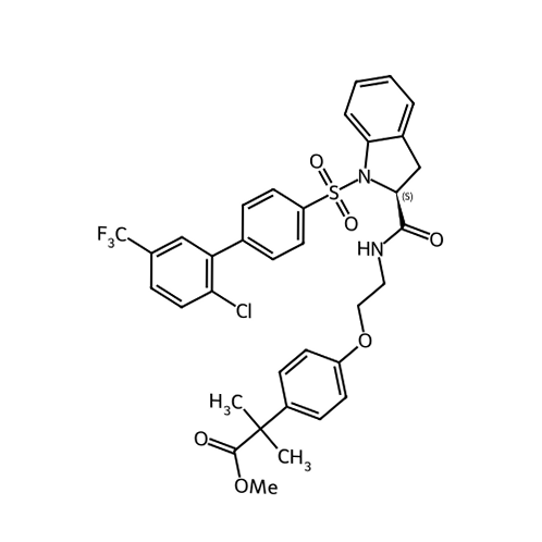 COC(=O)C(C)(C)c1ccc(OCCNC(=O)[C@@H]2Cc3ccccc3N2S(=O)(=O)c2ccc(-c3cc(C(F)(F)F)ccc3Cl)cc2)cc1